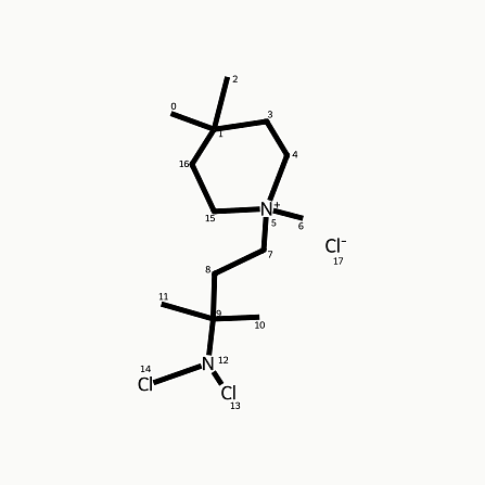 CC1(C)CC[N+](C)(CCC(C)(C)N(Cl)Cl)CC1.[Cl-]